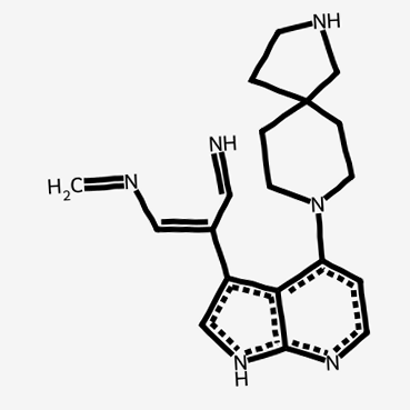 C=N/C=C(\C=N)c1c[nH]c2nccc(N3CCC4(CCNC4)CC3)c12